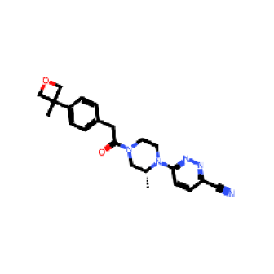 C[C@@H]1CN(C(=O)Cc2ccc(C3(C)COC3)cc2)CCN1c1ccc(C#N)nn1